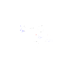 C[C@H](N)c1c(O)c2cccc(C#Cc3cnn(C)c3)c2c(=O)n1-c1ccccc1